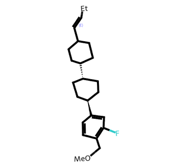 CC/C=C/C1CCC([C@H]2CC[C@H](c3ccc(COC)c(F)c3)CC2)CC1